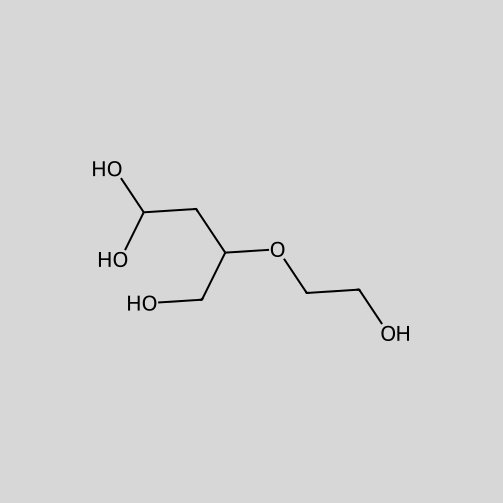 OCCOC(CO)CC(O)O